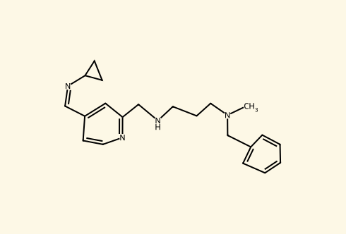 CN(CCCNCc1cc(/C=N\C2CC2)ccn1)Cc1ccccc1